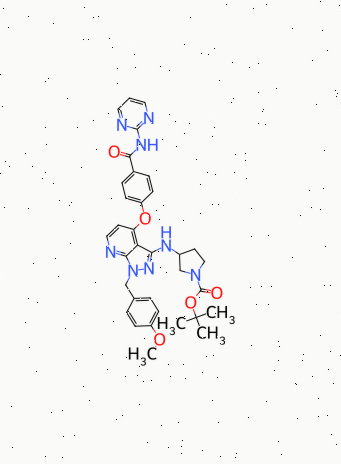 COc1ccc(Cn2nc(NC3CCN(C(=O)OC(C)(C)C)C3)c3c(Oc4ccc(C(=O)Nc5ncccn5)cc4)ccnc32)cc1